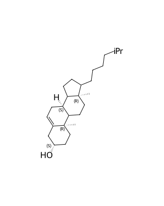 CC(C)CCCCC1CCC2[C@@H]3CC=C4C[C@@H](O)CC[C@]4(C)C3CC[C@]12C